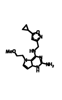 COCCN1C=CC2NC(N)=NC(NCc3cc(C4CC4)on3)=C21